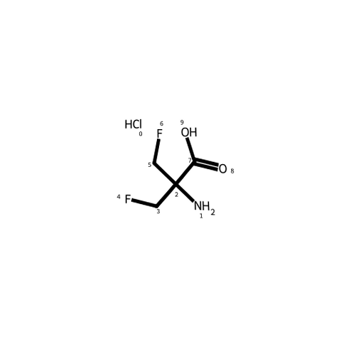 Cl.NC(CF)(CF)C(=O)O